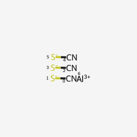 N#C[S-].N#C[S-].N#C[S-].[Al+3]